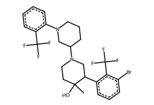 CC1(O)CCN(C2CCCN(c3ccccc3C(F)(F)F)C2)CC1c1cccc(Br)c1C(F)(F)F